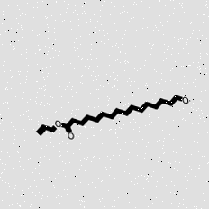 C=CCOC(=O)CCCCCCCCCCCCCCC[O]